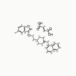 Cc1ccc2onc(OCCC3CCN(Cc4cccc5ccccc45)CC3)c2c1.O=C(O)/C=C/C(=O)O